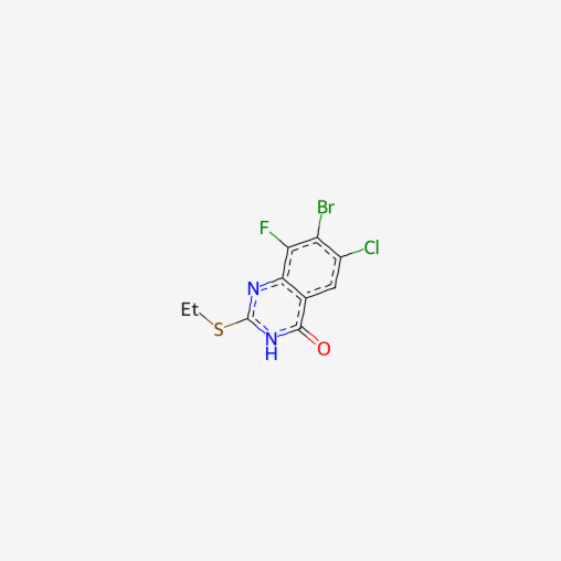 CCSc1nc2c(F)c(Br)c(Cl)cc2c(=O)[nH]1